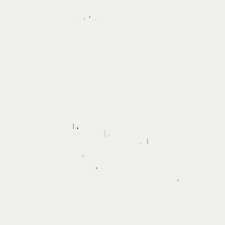 COCC(O)CO[C@H]1CCN(c2nnc(-c3cccc(Cl)c3Cl)c(N)n2)C1